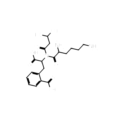 CC(=S)c1ccccc1CC(C(=O)O)N(C(=O)CC(C)C)C(=O)C(N)CCCCN